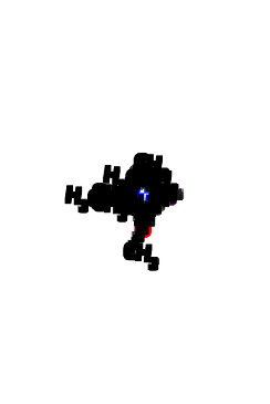 CCCCCCOc1ccc(C2=C3C=CC(=N3)C(c3ccc(C#C[Si](C)(C)C)cc3)=C3C=CC(=N3)C(c3c(C)cc(C)cc3C)=C3C=CC(=N3)C(c3ccc(I)cc3)=C3C=CC2=N3)cc1